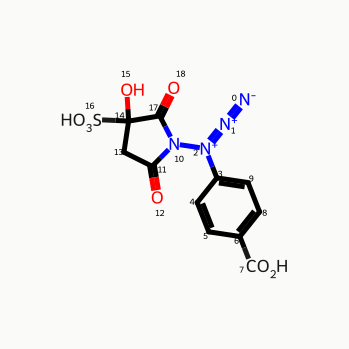 [N-]=[N+]=[N+](c1ccc(C(=O)O)cc1)N1C(=O)CC(O)(S(=O)(=O)O)C1=O